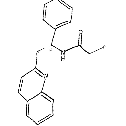 O=C(CF)N[C@H](Cc1ccc2ccccc2n1)c1ccccc1